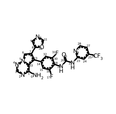 Nc1ncnn2cc(-c3cnco3)c(-c3cc(F)c(NC(=O)Nc4cc(C(F)(F)F)ccn4)c(F)c3)c12